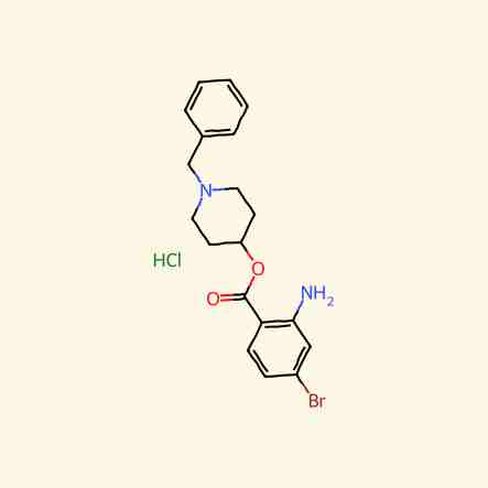 Cl.Nc1cc(Br)ccc1C(=O)OC1CCN(Cc2ccccc2)CC1